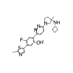 Cc1ncc(-c2cc(O)c(-c3ccc(N4CCC(C)(NC5CCC5)C4)nn3)cc2F)s1